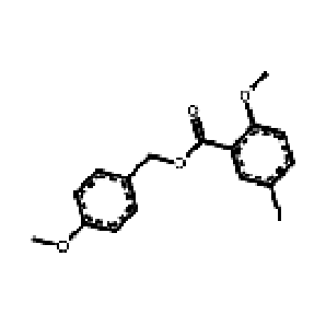 COc1ccc(COC(=O)c2cc(I)ccc2OC)cc1